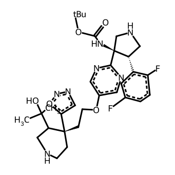 CC(C)(C)OC(=O)N[C@@]1(c2ncc(OCC[C@@]3(c4cnno4)CCNCC3C(C)(C)O)cn2)CNC[C@@H]1c1cc(F)ccc1F